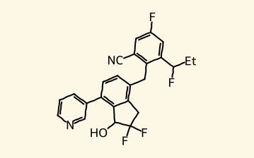 CCC(F)c1cc(F)cc(C#N)c1Cc1ccc(-c2cccnc2)c2c1CC(F)(F)C2O